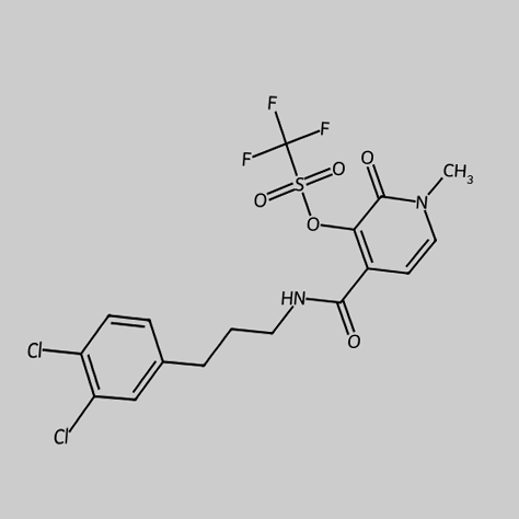 Cn1ccc(C(=O)NCCCc2ccc(Cl)c(Cl)c2)c(OS(=O)(=O)C(F)(F)F)c1=O